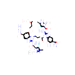 CCn1nc(C)c(F)c1C(=O)Nc1nc2cc(C(N)=O)cc(OCCC(C)O)c2n1CCC[C@H]1COc2cc(C(N)=O)cc3nc(NC(=O)c4c(F)c(C)nn4CC)n1c23